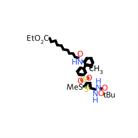 CCOC(=O)CCCCCCCCCCC(=O)Nc1cccc(C)c1-c1cccc(S(=O)(=O)c2cc(C(=N)NC(=O)OC(C)(C)C)sc2SC)c1